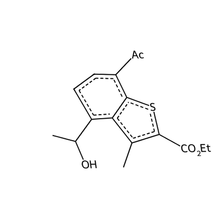 CCOC(=O)c1sc2c(C(C)=O)ccc(C(C)O)c2c1C